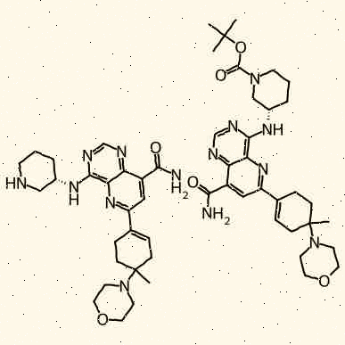 CC(C)(C)OC(=O)N1CCC[C@H](Nc2ncnc3c(C(N)=O)cc(C4=CCC(C)(N5CCOCC5)CC4)nc23)C1.CC1(N2CCOCC2)CC=C(c2cc(C(N)=O)c3ncnc(N[C@H]4CCCNC4)c3n2)CC1